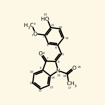 COc1cc(C=C2C(=O)c3ccccc3N2C(C)=O)ccc1O